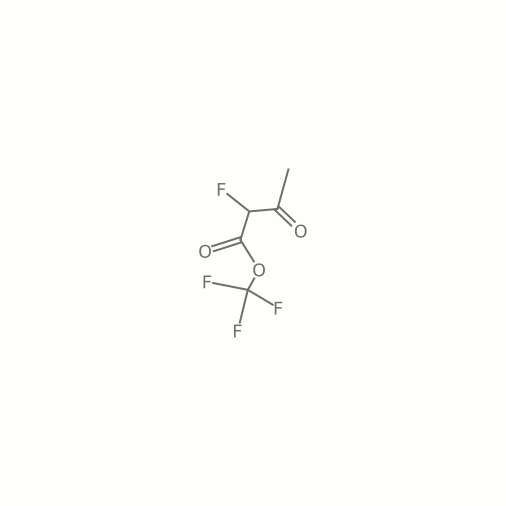 CC(=O)C(F)C(=O)OC(F)(F)F